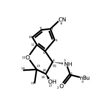 CCCCC(=O)N[C@H]1c2cc(C#N)ccc2OC(C)(C)[C@@H]1O